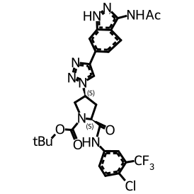 CC(=O)Nc1n[nH]c2cc(-c3cn([C@H]4C[C@@H](C(=O)Nc5ccc(Cl)c(C(F)(F)F)c5)N(C(=O)OC(C)(C)C)C4)nn3)ccc12